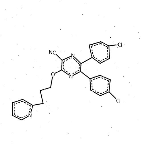 N#Cc1nc(-c2ccc(Cl)cc2)c(-c2ccc(Cl)cc2)nc1OCCCc1ccccn1